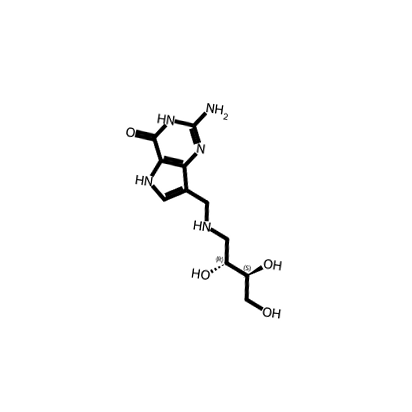 Nc1nc2c(CNC[C@@H](O)[C@@H](O)CO)c[nH]c2c(=O)[nH]1